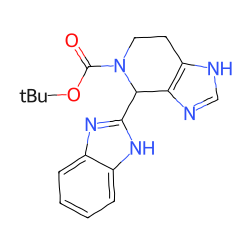 CC(C)(C)OC(=O)N1CCc2[nH]cnc2C1c1nc2ccccc2[nH]1